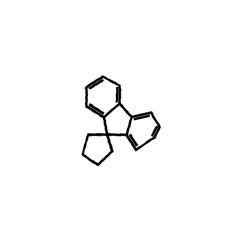 [c]1ccc2c(c1)C1(CCCC1)c1c[c]ccc1-2